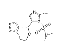 Cc1ncc(C2OCCc3sccc32)n1S(=O)(=O)N(C)C